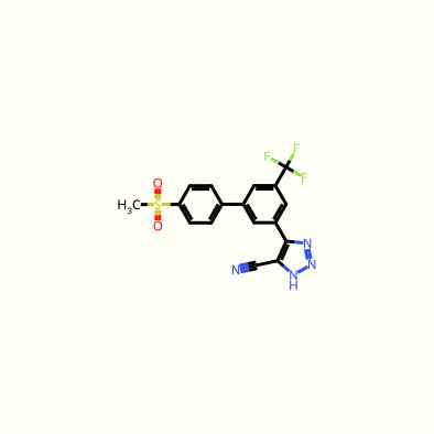 CS(=O)(=O)c1ccc(-c2cc(-c3nn[nH]c3C#N)cc(C(F)(F)F)c2)cc1